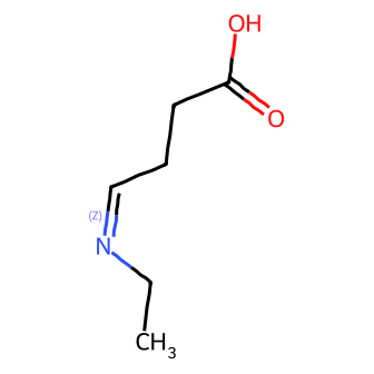 CC/N=C\CCC(=O)O